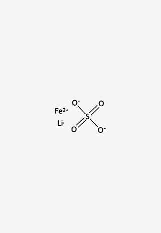 O=S(=O)([O-])[O-].[Fe+2].[Li]